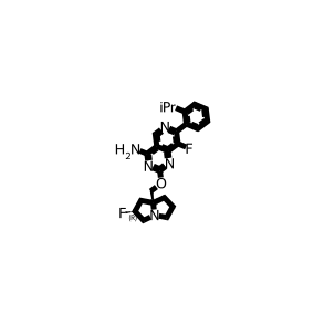 CC(C)c1ccccc1-c1ncc2c(N)nc(OC[C@@]34CCCN3C[C@H](F)C4)nc2c1F